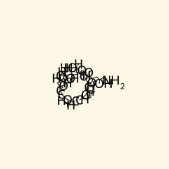 C=C1C[C@@H]2CCC34C[C@H]5O[C@@H]6C(O[C@H]7CC[C@H](CC(=O)C[C@@H]8[C@@H](OC)[C@@H](C[C@H](O)CN)O[C@H]8C[C@H]8O[C@@H](CC[C@@H]1O2)C[C@@H](C)C8=C)O[C@@H]7[C@@H]6O3)[C@H]5O4